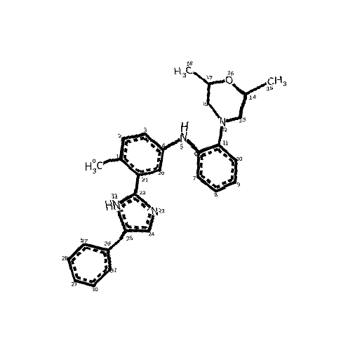 Cc1ccc(Nc2ccccc2N2CC(C)OC(C)C2)cc1-c1ncc(-c2ccccc2)[nH]1